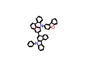 c1ccc(-c2ccccc2N(c2cccc(-c3cc4c(c5ccccc35)c3ccccc3n4-c3ccccc3)c2)c2ccc3oc4ccccc4c3c2)cc1